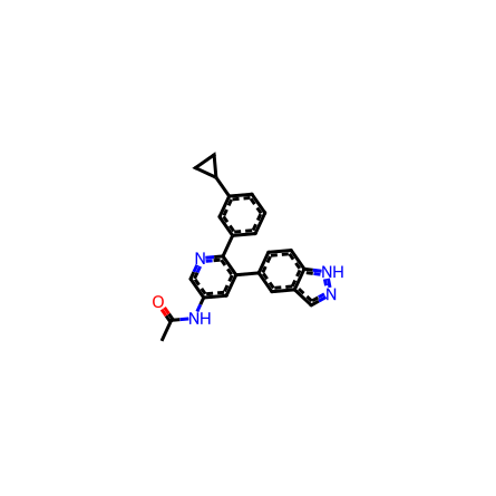 CC(=O)Nc1cnc(-c2cccc(C3CC3)c2)c(-c2ccc3[nH]ncc3c2)c1